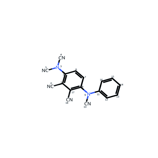 N#Cc1c(N(C#N)C#N)ccc(N(C#N)c2ccccc2)c1C#N